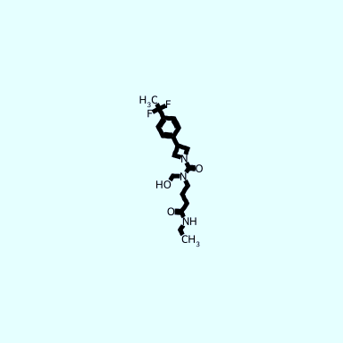 CCNC(=O)CCCN(CO)C(=O)N1CC(c2ccc(C(C)(F)F)cc2)C1